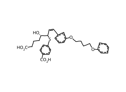 O=C(O)CCC[C@H](O)[C@@H](/C=C\c1cccc(OCCCCOc2ccccc2)c1)Sc1ccc(C(=O)O)cc1